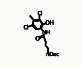 CCCCCCCCCCCCCC(=O)Nc1cc(Cl)c(C)c(Cl)c1O